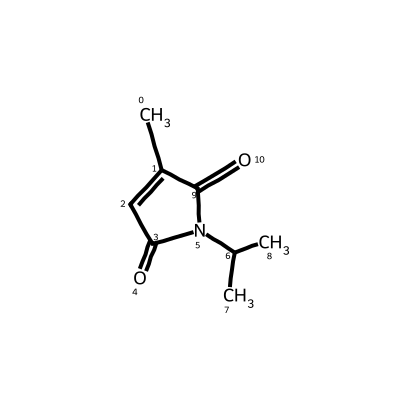 CC1=CC(=O)N(C(C)C)C1=O